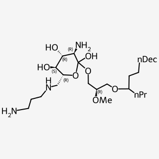 CCCCCCCCCCCCC(CCC)OC[C@H](COC1(O)O[C@H](CNCCCN)[C@@H](O)[C@H](O)[C@H]1N)OC